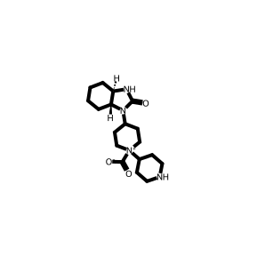 O=C1N[C@@H]2CCCC[C@H]2N1C1CC[N+](C(=O)[O-])(C2CCNCC2)CC1